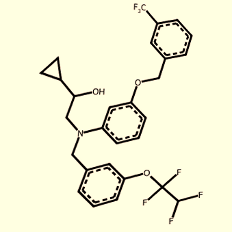 OC(CN(Cc1cccc(OC(F)(F)C(F)F)c1)c1cccc(OCc2cccc(C(F)(F)F)c2)c1)C1CC1